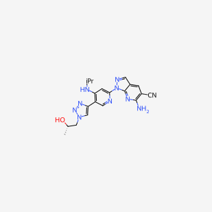 CC(C)Nc1cc(-n2ncc3cc(C#N)c(N)nc32)ncc1-c1cn(C[C@H](C)O)nn1